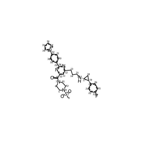 CS(=O)(=O)N1CCN(C(=O)c2cc(CCCN[C@@H]3C[C@H]3c3ccc(F)cc3)nc(-c3ccc(-n4cccn4)cc3)n2)CC1